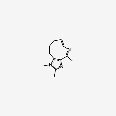 C/C1=N/C=C/CCCc2c1nc(C)n2C